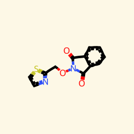 O=C1c2ccccc2C(=O)N1OCc1nccs1